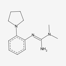 CN(C)/C(N)=N/c1ccccc1N1CCCC1